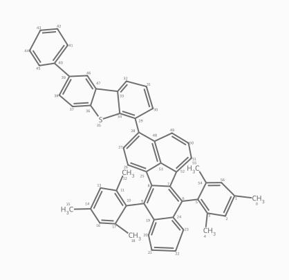 Cc1cc(C)c(-c2c3c(c(-c4c(C)cc(C)cc4C)c4ccccc24)-c2ccc(-c4cccc5c4sc4ccc(-c6ccccc6)cc45)c4cccc-3c24)c(C)c1